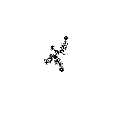 CC(C)(C)C(=O)SCCOP(=O)(OC[C@H]1O[C@@H](n2cnc3c(NC(=O)COc4ccccc4)ncnc32)C[C@H]1OP(=O)(OCCC#N)OCCSC(=O)C(C)(C)C)O[C@@H]1C[C@H](n2cnc3c(NC(=O)COc4ccccc4)ncnc32)O[C@@H]1CO